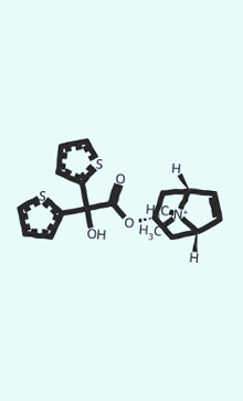 C[N+]1(C)[C@@H]2C=C[C@H]1C[C@@H](OC(=O)C(O)(c1cccs1)c1cccs1)C2